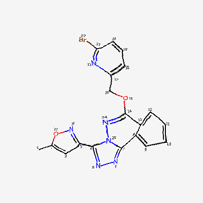 Cc1cc(-c2nnc3c4ccccc4c(OCc4cccc(Br)n4)nn23)no1